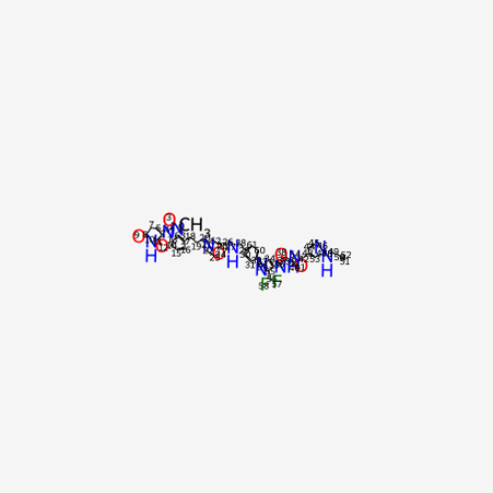 Cn1c(=O)n(C2CCC(=O)NC2=O)c2cccc(CCCN3CCO[C@@H](CNCc4ccc(-n5cc(NC(=O)c6coc(-c7ccnc(NCC8CC8)c7)n6)c(C(F)F)n5)cc4)C3)c21